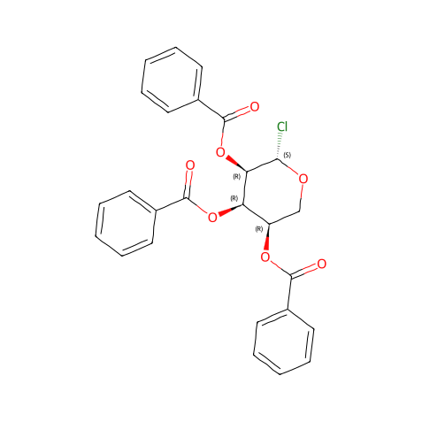 O=C(O[C@@H]1[C@H](OC(=O)c2ccccc2)[C@H](OC(=O)c2ccccc2)CO[C@H]1Cl)c1ccccc1